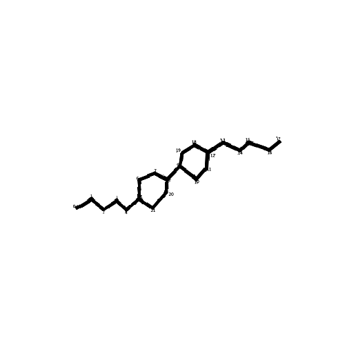 CCCCCC1CCC(C2CCC(CCCCC)CC2)CC1